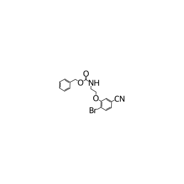 N#Cc1ccc(Br)c(OCCNC(=O)OCc2ccccc2)c1